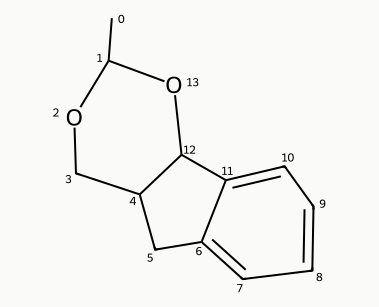 CC1OCC2Cc3ccccc3C2O1